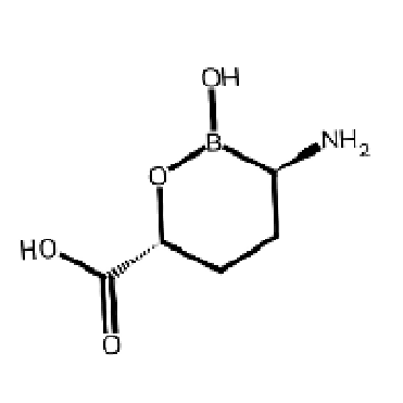 N[C@H]1CC[C@H](C(=O)O)OB1O